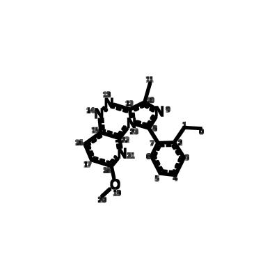 CCc1ccccc1-c1nc(C)c2nnc3ccc(OC)nc3n12